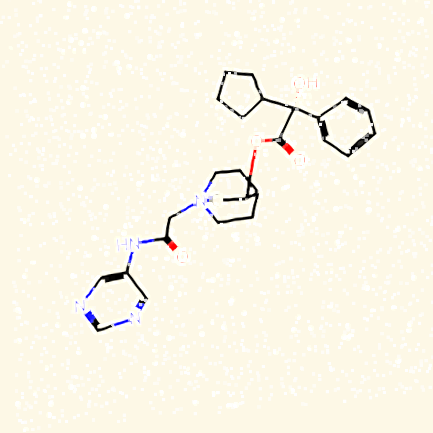 O=C(C[N+]12CCC(CC1)C(OC(=O)[C@](O)(c1ccccc1)C1CCCC1)C2)Nc1cncnc1